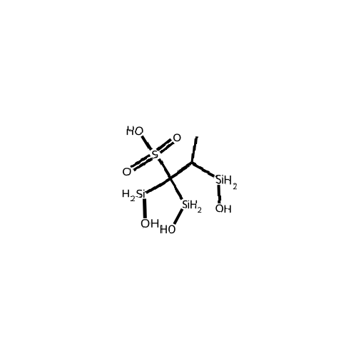 CC([SiH2]O)C([SiH2]O)([SiH2]O)S(=O)(=O)O